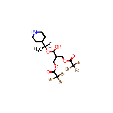 CC(C)(OC(O)C(COC(=O)C(Br)(Br)Br)COC(=O)C(Br)(Br)Br)C1CCNCC1